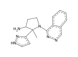 CC1(c2cc[nH]n2)C(N)CCN1c1nncc2ccccc12